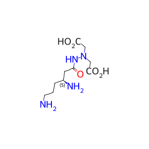 NCCC[C@H](N)CC(=O)NN(CC(=O)O)CC(=O)O